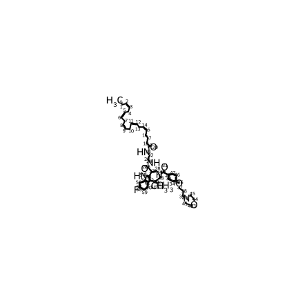 CC/C=C\C/C=C\C/C=C\C/C=C\C/C=C\CCCC(=O)NCCNC(=O)C1=CN(C(=O)c2ccc(OCCCN3CCOCC3)cc2)CC(C)(C)c2c1[nH]c1cc(F)ccc21